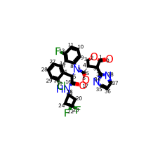 O=C1OC[C@@H](C(=O)N(c2cccc(F)c2)[C@H](C(=O)NC2CC(F)(F)C2)c2ccccc2Cl)C1c1ncccn1